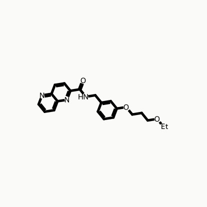 CCOCCCOc1cccc(CNC(=O)c2ccc3ncccc3n2)c1